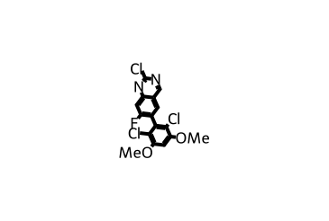 COc1cc(OC)c(Cl)c(-c2cc3cnc(Cl)nc3cc2F)c1Cl